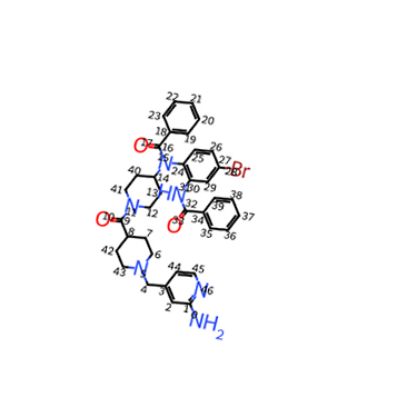 Nc1cc(CN2CCC(C(=O)N3CCC(N(C(=O)c4ccccc4)c4ccc(Br)cc4NC(=O)c4ccccc4)CC3)CC2)ccn1